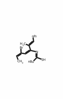 C\C=C(Br)/C=C(/N=C(/S)CCCC)C(\C)=C\CCC